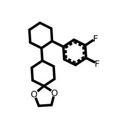 Fc1ccc(C2CCCCC2C2CCC3(CC2)OCCO3)cc1F